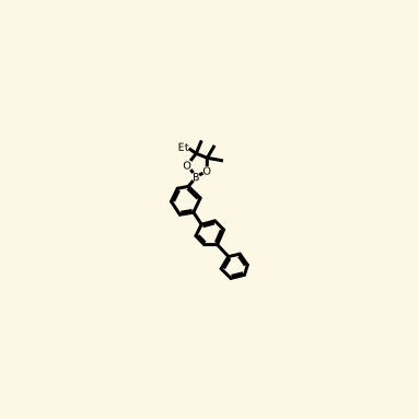 CCC1(C)OB(c2cccc(-c3ccc(-c4ccccc4)cc3)c2)OC1(C)C